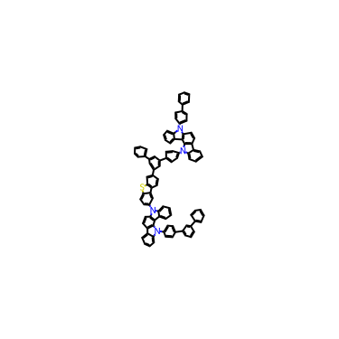 c1ccc(-c2ccc(-n3c4ccccc4c4c3ccc3c5ccccc5n(-c5ccc(-c6cc(-c7ccccc7)cc(-c7ccc8c(c7)sc7ccc(-n9c%10ccccc%10c%10c9ccc9c%11ccccc%11n(-c%11ccc(-c%12cccc(-c%13ccccc%13)c%12)cc%11)c9%10)cc78)c6)cc5)c34)cc2)cc1